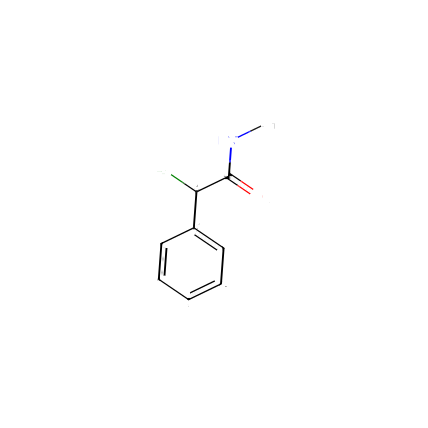 CC(C)NC(=O)C(Br)c1ccccc1